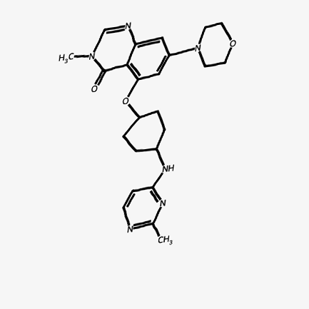 Cc1nccc(NC2CCC(Oc3cc(N4CCOCC4)cc4ncn(C)c(=O)c34)CC2)n1